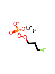 O=P([O-])([O-])OOCCCF.[Li+].[Li+]